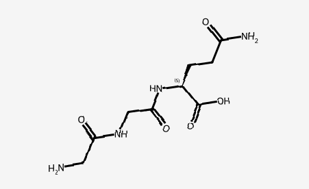 NCC(=O)NCC(=O)N[C@@H](CCC(N)=O)C(=O)O